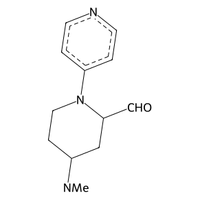 CNC1CCN(c2ccncc2)C(C=O)C1